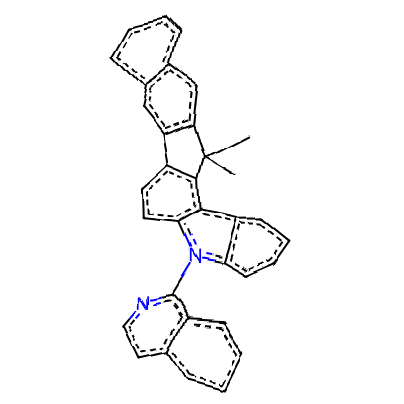 CC1(C)c2cc3ccccc3cc2-c2ccc3c(c21)c1ccccc1n3-c1nccc2ccccc12